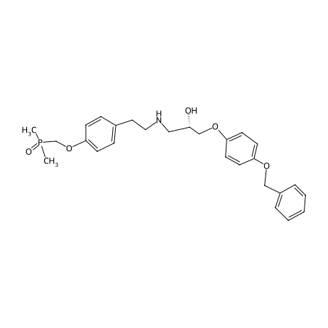 CP(C)(=O)COc1ccc(CCNC[C@H](O)COc2ccc(OCc3ccccc3)cc2)cc1